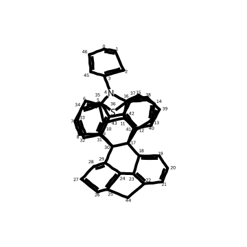 c1ccc(-n2c3cccc4c3c3c(cccc32)C23c5cccc6c5-c5c(cccc5C42c2cccc4sc5cccc3c5c24)C6)cc1